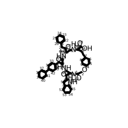 O=C1COc2ccc(cc2)C[C@@H](C(=O)O)NC(=O)[C@H](CCc2ccccc2)NC(=O)[C@@H](Cc2ccc(-c3ccccc3)cc2)NC(=O)[C@H](Cc2cc3ccccc3[nH]2)N1